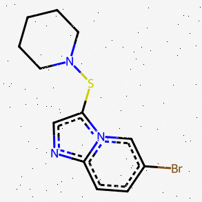 Brc1ccc2ncc(SN3CCCCC3)n2c1